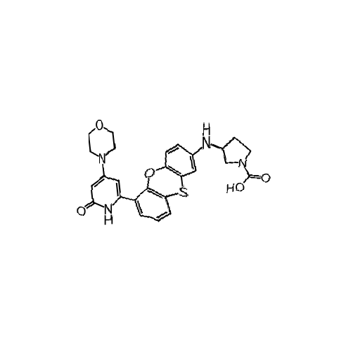 O=C(O)N1CCC(Nc2ccc3c(c2)Sc2cccc(-c4cc(N5CCOCC5)cc(=O)[nH]4)c2O3)C1